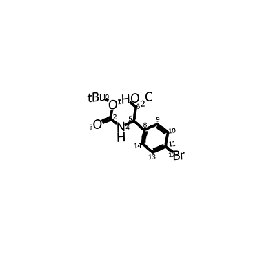 CC(C)(C)OC(=O)NC(CC(=O)O)c1ccc(Br)cc1